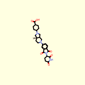 O=C1CCC(N2C(=O)c3ccc(N4CC[C@@H]5CN(C6CCC(C(=O)O)CC6)CC5C4)cc3C2=O)C(=O)N1